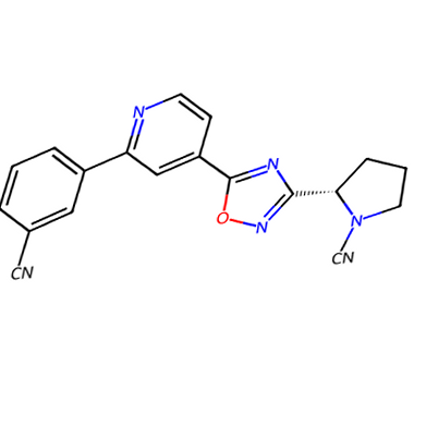 N#Cc1cccc(-c2cc(-c3nc([C@@H]4CCCN4C#N)no3)ccn2)c1